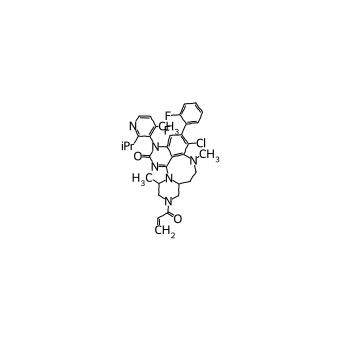 C=CC(=O)N1CC(C)N2c3nc(=O)n(-c4c(C)ccnc4C(C)C)c4c(F)c(-c5ccccc5F)c(Cl)c(c34)N(C)CCC2C1